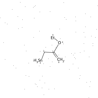 C=C([CH2][SnH3])OCC